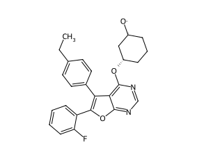 CCc1ccc(-c2c(-c3ccccc3F)oc3ncnc(O[C@H]4CCC[C]([O])C4)c23)cc1